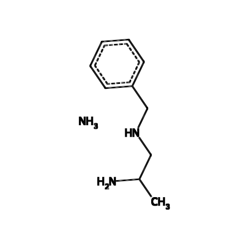 CC(N)CNCc1ccccc1.N